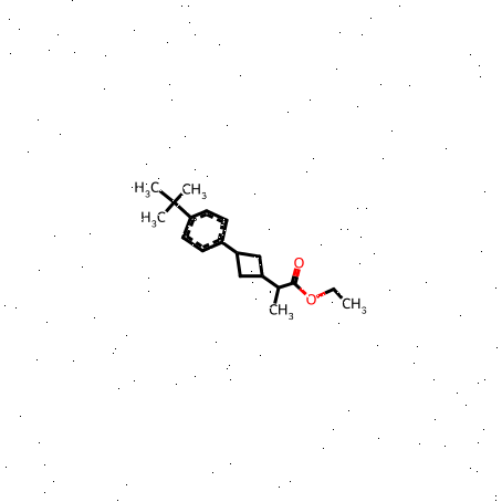 CCOC(=O)C(C)C1CC(c2ccc(C(C)(C)C)cc2)C1